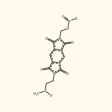 C[S+]([O-])CCn1c(=O)c2cc3c(=O)n(CO[N+](=O)[O-])c(=O)c3cc2c1=O